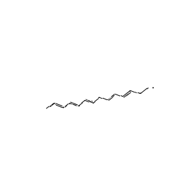 [CH2]CC=CC=CCC=CC=CC=CC